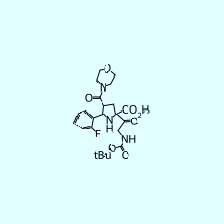 CC(C)(C)OC(=O)NCC(=O)C1(C(=O)O)CC(C(=O)N2CCOCC2)C(c2ccccc2F)N1